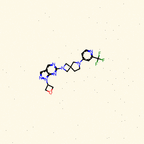 FC(F)(F)c1cc(N2CCC3(C2)CN(c2ncc4cnn(C5COC5)c4n2)C3)ccn1